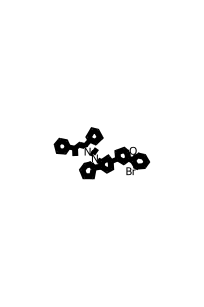 C=C(/C=C(\N=C(/C)n1c2ccccc2c2ccc(-c3ccc4oc5cccc(Br)c5c4c3)cc21)c1ccccc1)c1ccccc1